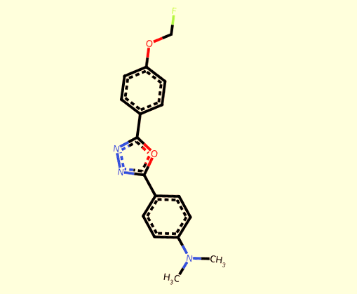 CN(C)c1ccc(-c2nnc(-c3ccc(OCF)cc3)o2)cc1